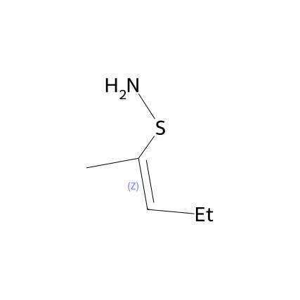 CC/C=C(/C)SN